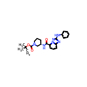 CC(C)(C)OC(=O)N1CCC[C@H](NC(=O)c2cccc3nc(Nc4ccccc4)nn23)C1